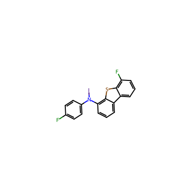 Fc1ccc(N(I)c2cccc3c2sc2c(F)cccc23)cc1